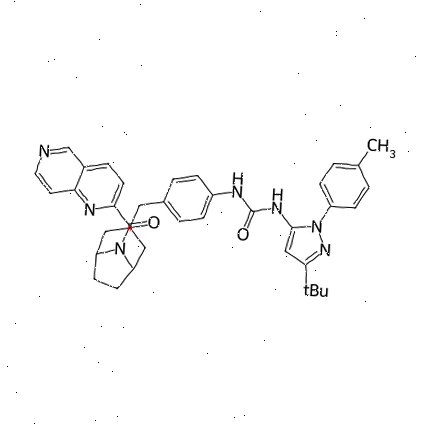 Cc1ccc(-n2nc(C(C)(C)C)cc2NC(=O)Nc2ccc(CC3CC4CCC(C3)N4C(=O)c3ccc4cnccc4n3)cc2)cc1